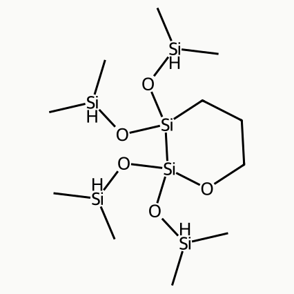 C[SiH](C)O[Si]1(O[SiH](C)C)CCCO[Si]1(O[SiH](C)C)O[SiH](C)C